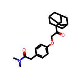 CN(C)C(=O)Cc1ccc(OCC(=O)C23CC4CC(CC(C4)C2)C3)cc1